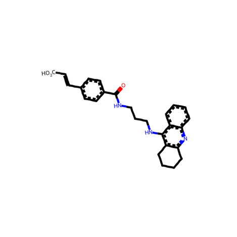 O=C(O)C=Cc1ccc(C(=O)NCCCNc2c3c(nc4ccccc24)CCCC3)cc1